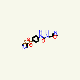 O=C(NCc1cnco1)Nc1ccc(S(=O)(=O)c2cncs2)cc1